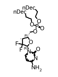 CCCCCCCCCCCCOP(=O)(OCCCCCCCCCCCC)OC[C@H]1[CH]C(F)(F)[C@H](n2ccc(N)nc2=O)O1